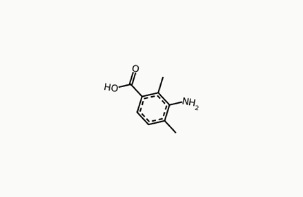 Cc1ccc(C(=O)O)c(C)c1N